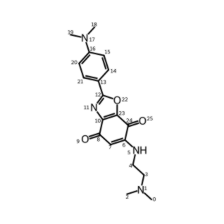 CN(C)CCNC1=CC(=O)c2nc(-c3ccc(N(C)C)cc3)oc2C1=O